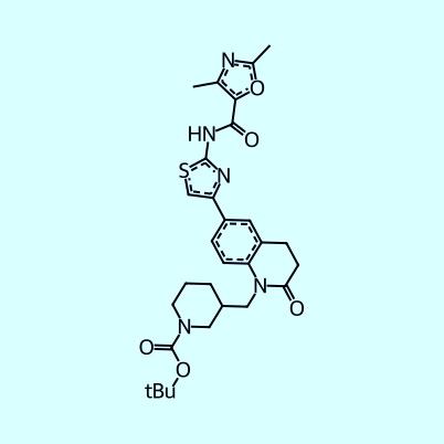 Cc1nc(C)c(C(=O)Nc2nc(-c3ccc4c(c3)CCC(=O)N4CC3CCCN(C(=O)OC(C)(C)C)C3)cs2)o1